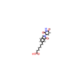 O=C(O)CCCCCCc1ccc2c(c1)C(=O)N(C1CCC(=O)NC1=O)C2